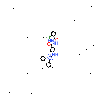 O=C(NNC(=O)c1ccccc1Cl)c1ccc(Nc2nc(-c3ccccc3)n(-c3ccccc3)n2)cc1